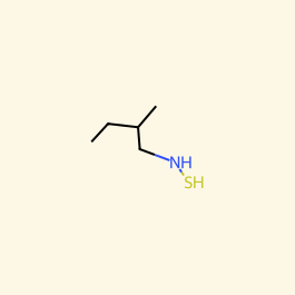 CCC(C)CNS